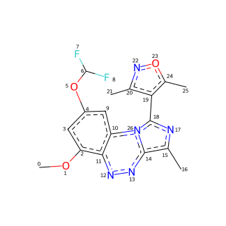 COc1cc(OC(F)F)cc2c1nnc1c(C)nc(-c3c(C)noc3C)n12